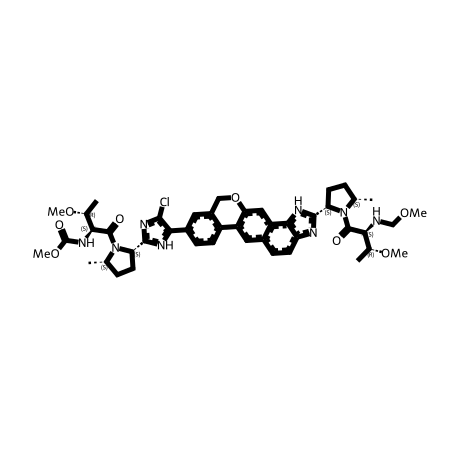 COCN[C@H](C(=O)N1[C@@H](C)CC[C@H]1c1nc2ccc3cc4c(cc3c2[nH]1)OCc1cc(-c2[nH]c([C@@H]3CC[C@H](C)N3C(=O)[C@@H](NC(=O)OC)[C@@H](C)OC)nc2Cl)ccc1-4)[C@@H](C)OC